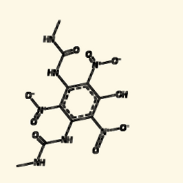 CNC(=O)Nc1c([N+](=O)[O-])c(O)c([N+](=O)[O-])c(NC(=O)NC)c1[N+](=O)[O-]